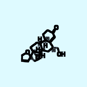 CC[C@]12CC[C@H]3[C@@H](C[C@@H](CO)C4=CC(=O)CC[C@@H]43)[C@@H]1CC[C@@]21C=CCO1